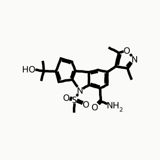 Cc1noc(C)c1-c1cc(C(N)=O)c2c(c1)c1ccc(C(C)(C)O)cc1n2S(C)(=O)=O